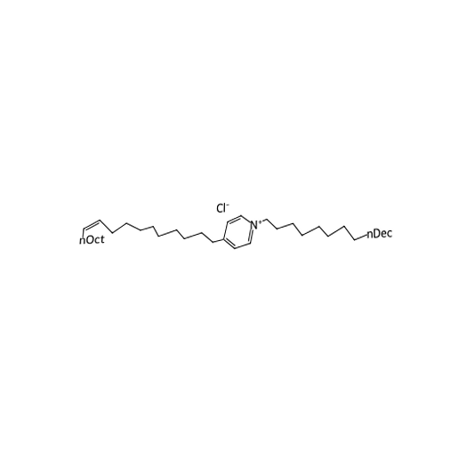 CCCCCCCC/C=C\CCCCCCCCCc1cc[n+](CCCCCCCCCCCCCCCCCC)cc1.[Cl-]